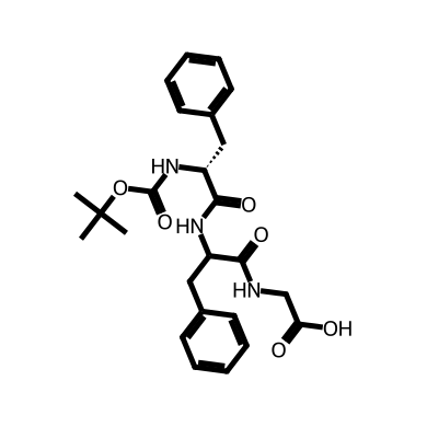 CC(C)(C)OC(=O)N[C@H](Cc1ccccc1)C(=O)NC(Cc1ccccc1)C(=O)NCC(=O)O